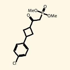 COP(=O)(CC(=O)C1CC(c2ccc(Cl)cc2)C1)OC